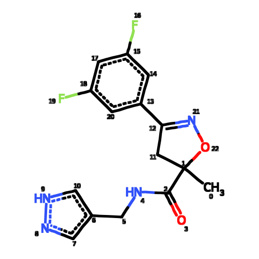 CC1(C(=O)NCc2cn[nH]c2)CC(c2cc(F)cc(F)c2)=NO1